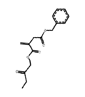 C=C(CC(=O)OCc1ccccc1)C(=O)OCC(=O)CC